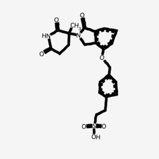 CC1(N2Cc3c(OCc4ccc(CCS(=O)(=O)O)cc4)cccc3C2=O)CCC(=O)NC1=O